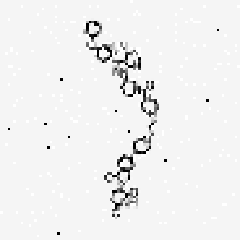 Nc1ncnc2c1c(-c1ccc(Oc3ccccc3)cc1)nn2[C@@H]1CCCN(C(=O)N2CCN(CCCN3CCC(c4ccc5c(c4)CN(C4CCC(=O)NC4=O)C5=O)CC3)CC2)C1